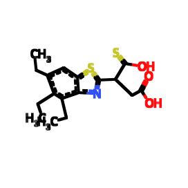 CCc1cc2sc(C(CC(=O)O)C(O)=S)nc2c(CC)c1CC